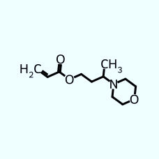 C=CC(=O)OCCC(C)N1CCOCC1